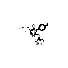 CC(C)(C)OC(=O)Nc1ncc(C(=O)O)c(=O)n1-c1ccc(F)cc1